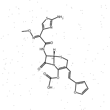 CON=C(C(=O)NC1C(=O)N2C(OC(=O)O)=C(C=Cc3ccco3)CS[C@@H]12)c1csc(N)n1